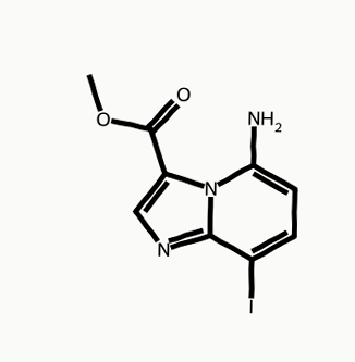 COC(=O)c1cnc2c(I)ccc(N)n12